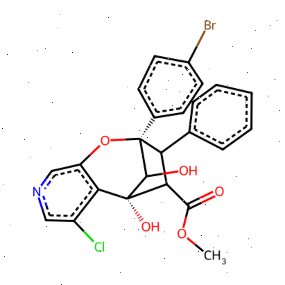 COC(=O)C1C(c2ccccc2)[C@]2(c3ccc(Br)cc3)Oc3cncc(Cl)c3[C@@]1(O)C2O